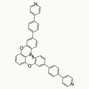 S=P12c3ccc(-c4ccc(-c5ccncc5)cc4)cc3Oc3cccc(c31)Oc1cc(-c3ccc(-c4ccncc4)cc3)ccc12